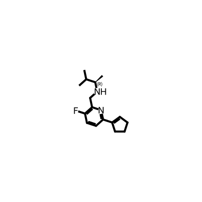 CC(C)[C@@H](C)NCc1nc(C2=CCCC2)ccc1F